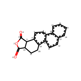 O=C1OC(=O)C2c3ccc4c(ccc5ccccc54)c3CCC12